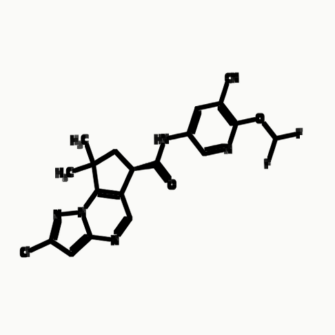 CC1(C)C[C@@H](C(=O)Nc2cnc(OC(F)F)c(C#N)c2)c2cnc3cc(Cl)nn3c21